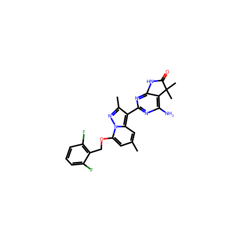 Cc1cc(OCc2c(F)cccc2F)n2nc(C)c(-c3nc(N)c4c(n3)NC(=O)C4(C)C)c2c1